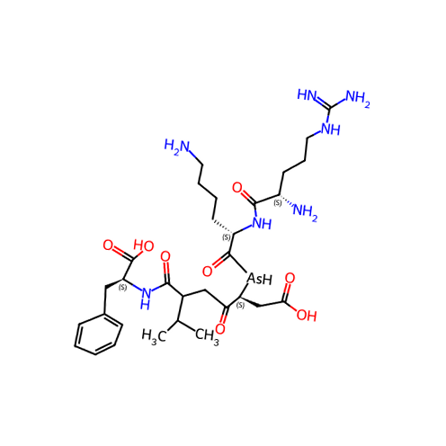 CC(C)C(CC(=O)[C@H](CC(=O)O)[AsH]C(=O)[C@H](CCCCN)NC(=O)[C@@H](N)CCCNC(=N)N)C(=O)N[C@@H](Cc1ccccc1)C(=O)O